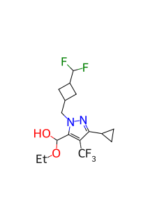 CCOC(O)c1c(C(F)(F)F)c(C2CC2)nn1CC1CC(C(F)F)C1